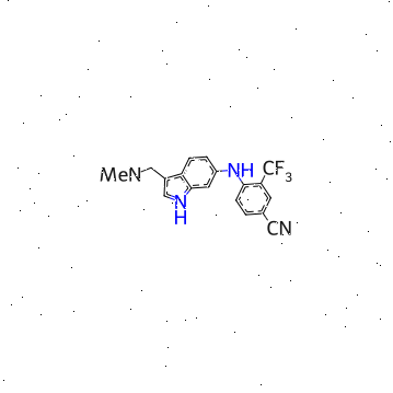 CNCc1c[nH]c2cc(Nc3ccc(C#N)cc3C(F)(F)F)ccc12